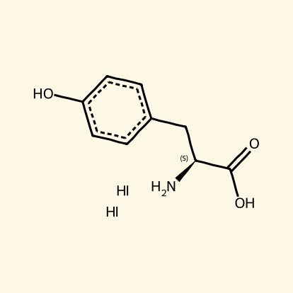 I.I.N[C@@H](Cc1ccc(O)cc1)C(=O)O